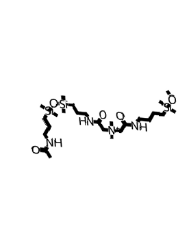 CO[Si](C)(C)CCCCNC(=O)C[N+](C)(C)CC(=O)NCCC[Si](C)(C)O[Si](C)(C)CCCNC(C)=O